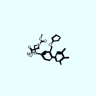 COC(=O)N1CC(Nc2ccc(-c3cc(C)c(C)c(C)c3)c(COC3CCCC3)c2)(C(=O)O)C1